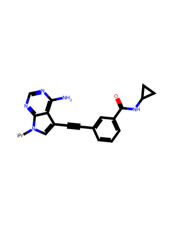 CC(C)n1cc(C#Cc2cccc(C(=O)NC3CC3)c2)c2c(N)ncnc21